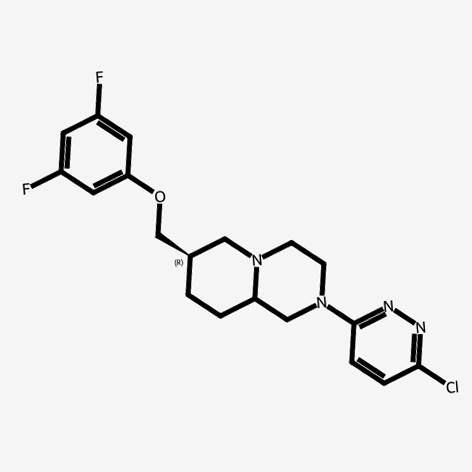 Fc1cc(F)cc(OC[C@@H]2CCC3CN(c4ccc(Cl)nn4)CCN3C2)c1